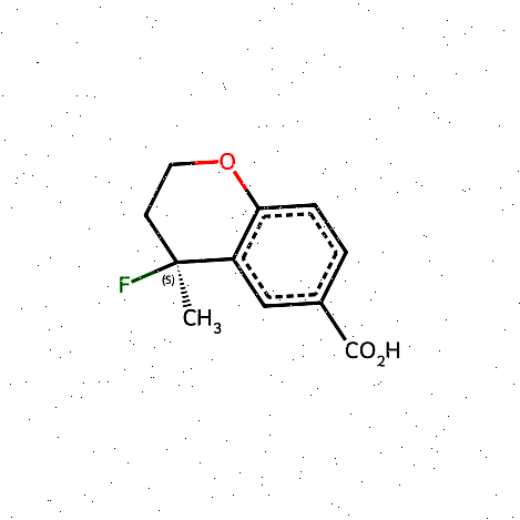 C[C@]1(F)CCOc2ccc(C(=O)O)cc21